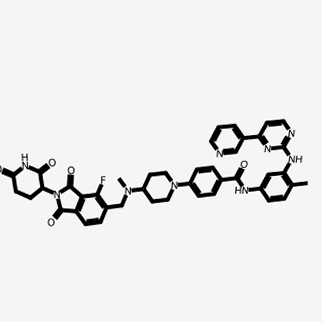 Cc1ccc(NC(=O)c2ccc(N3CCC(N(C)Cc4ccc5c(c4F)C(=O)N(C4CCC(=O)NC4=O)C5=O)CC3)cc2)cc1Nc1nccc(-c2cccnc2)n1